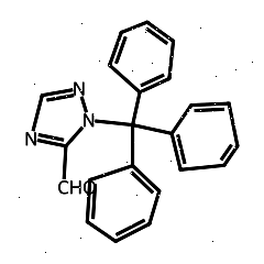 O=Cc1ncnn1C(c1ccccc1)(c1ccccc1)c1ccccc1